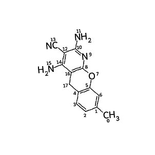 Cc1ccc2c(c1)Oc1nc(N)c(C#N)c(N)c1C2